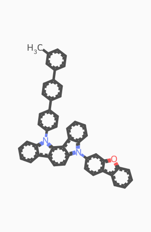 Cc1cccc(-c2ccc(-c3ccc(-n4c5ccccc5c5ccc6c(c7ccccc7n6-c6ccc7c(c6)oc6ccccc67)c54)cc3)cc2)c1